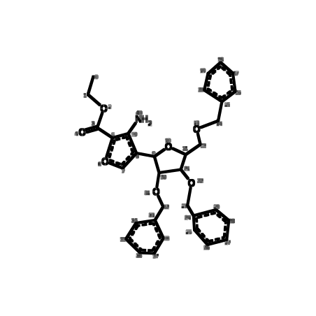 CCOC(=O)c1occ(C2OC(COCc3ccccc3)C(OCc3ccccc3)C2OCc2ccccc2)c1N